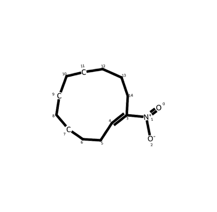 O=[N+]([O-])/C1=C\CCCCCCCCCC1